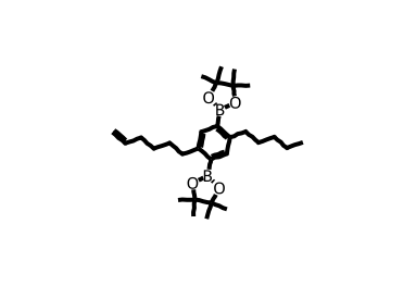 C=CCCCCc1cc(B2OC(C)(C)C(C)(C)O2)c(CCCCC)cc1B1OC(C)(C)C(C)(C)O1